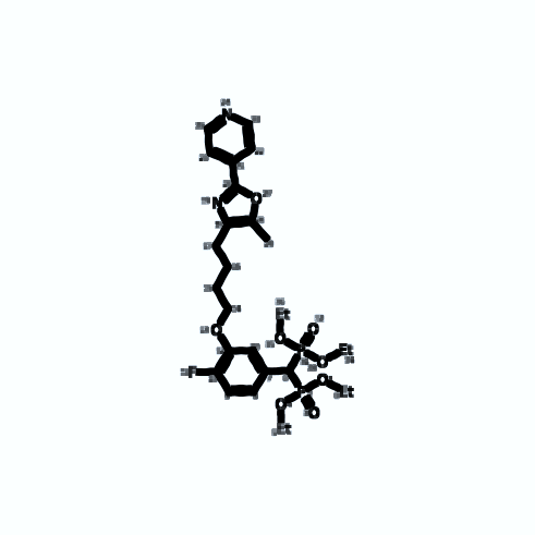 CCOP(=O)(OCC)C(c1ccc(F)c(OCCCCc2nc(-c3ccncc3)oc2C)c1)P(=O)(OCC)OCC